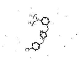 CN(C)c1cccc(Cc2cn(Cc3ccc(Cl)cc3)cn2)c1